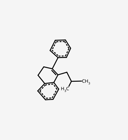 CC(C)CC1=C(c2ccccc2)CCc2ccccc21